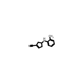 Cc1ccccc1NC1CC=C(C#N)C1